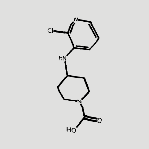 O=C(O)N1CCC(Nc2cccnc2Cl)CC1